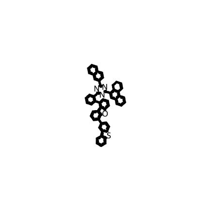 C1=Cc2c(c(-c3nc(-c4ccc5ccccc5c4)nc(-c4ccccc4-c4cccc5oc6c(-c7ccc8sc9ccccc9c8c7)cccc6c45)n3)cc3ccccc23)CC1